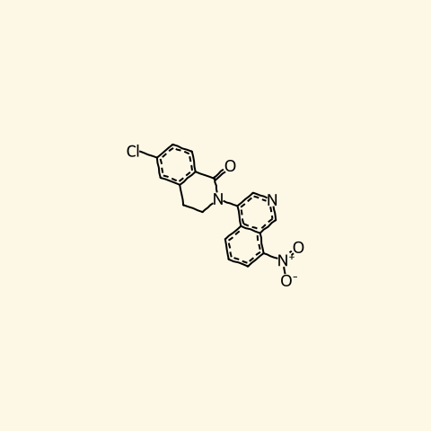 O=C1c2ccc(Cl)cc2CCN1c1cncc2c([N+](=O)[O-])cccc12